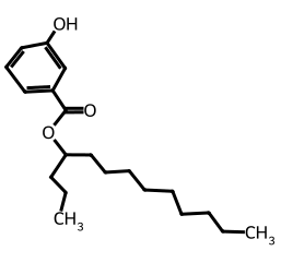 CCCCCCCCCC(CCC)OC(=O)c1cccc(O)c1